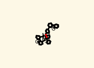 c1ccc(-c2nc(-c3ccc(-c4cccc5c4oc4ccccc45)cc3)nc(-c3cccc4oc5cccc(-c6nc7ccccc7s6)c5c34)n2)cc1